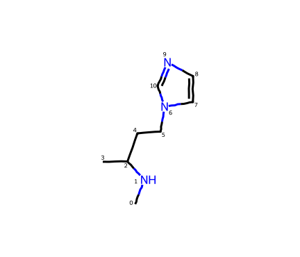 CNC(C)CCn1ccnc1